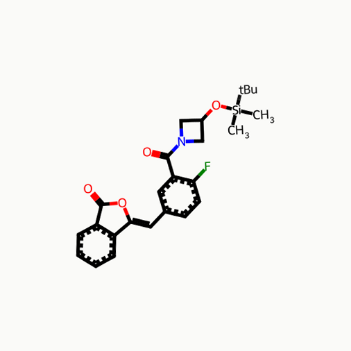 CC(C)(C)[Si](C)(C)OC1CN(C(=O)c2cc(C=C3OC(=O)c4ccccc43)ccc2F)C1